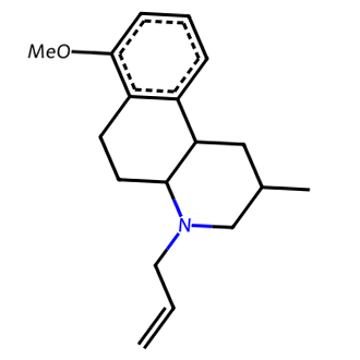 C=CCN1CC(C)CC2c3cccc(OC)c3CCC21